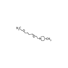 CCOCCCCOCCN1CCC(C)CC1